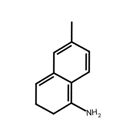 Cc1ccc2c(c1)=CCCC=2N